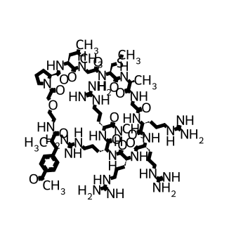 CNC(=O)[C@@H](CCCNC(=N)N)NC(=O)[C@@H](CCCNC(=N)N)NC(=O)[C@@H](CCCNC(=N)N)NC(=O)[C@@H](CCCNC(=N)N)NC(=O)[C@@H](CCCNC(=N)N)NC(=O)CNC(=O)[C@H](C)NC(=O)[C@H](CSC)NC(=O)CNC(=O)[C@H](CC(C)C)NC(=O)[C@@H]1CCCN1C(=O)COCCNC(=O)[C@@H](C)Cc1ccc(C(C)=O)cc1